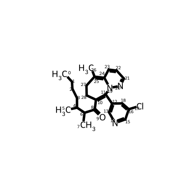 CCCCC(C)C(C)C(=O)C1=C(c2cncc(Cl)c2)N2N=CC=CC2=C(C)CC1